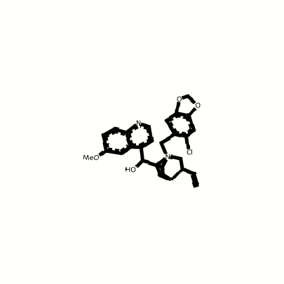 C=CC1C[N+]2(Cc3cc4c(cc3Cl)OCO4)CCC1CC2C(O)c1ccnc2ccc(OC)cc12